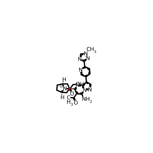 CC(=O)c1c([C@H]2C[C@H]3CC[C@@H](C2)N3C(=O)CO)nc2c(-c3ccc(-c4ncn(C)n4)nc3)cnn2c1N